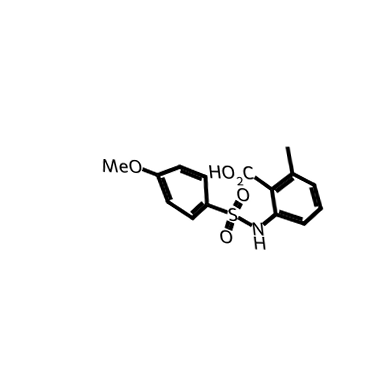 COc1ccc(S(=O)(=O)Nc2cccc(C)c2C(=O)O)cc1